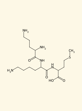 CSCCC(NC(=O)C(CCCCN)NC(=O)C(N)CCCN)C(=O)O